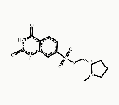 CN1CCC[C@H]1CNS(=O)(=O)c1ccc2c(=O)[nH]c(=O)[nH]c2c1